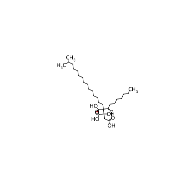 CCCCCCCC(=O)C(CCCCCCCCCCCCCC(C)C)(C(=O)O)C(O)(CC(=O)O)C(=O)O